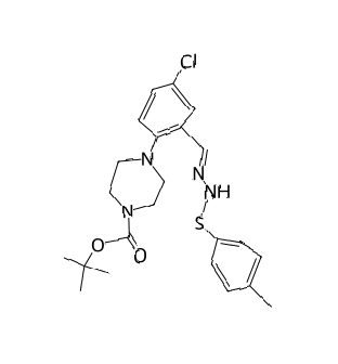 Cc1ccc(SN/N=C/c2cc(Cl)ccc2N2CCN(C(=O)OC(C)(C)C)CC2)cc1